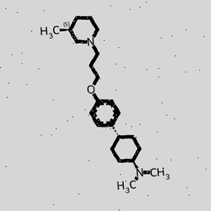 C[C@H]1CCCN(CCCOc2ccc([C@H]3CC[C@H](N(C)C)CC3)cc2)C1